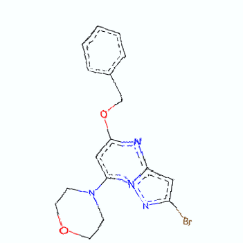 Brc1cc2nc(OCc3ccccc3)cc(N3CCOCC3)n2n1